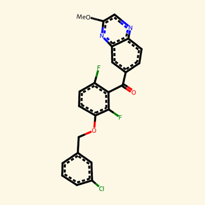 COc1cnc2ccc(C(=O)c3c(F)ccc(OCc4cccc(Cl)c4)c3F)cc2n1